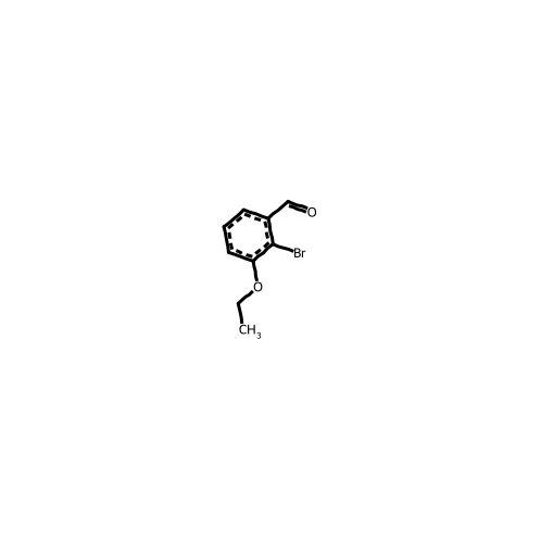 CCOc1cccc(C=O)c1Br